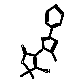 Cc1cc(-c2ccccc2)nn1C1=C(O)C(C)(C)OC1=O